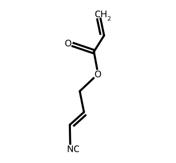 [C-]#[N+]C=CCOC(=O)C=C